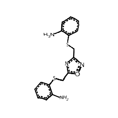 Nc1ccccc1SCc1noc(CSc2ccccc2N)n1